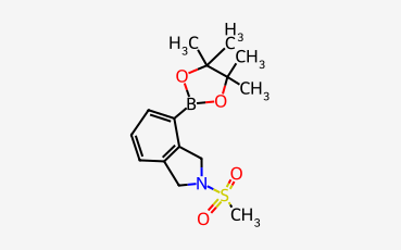 CC1(C)OB(c2cccc3c2CN(S(C)(=O)=O)C3)OC1(C)C